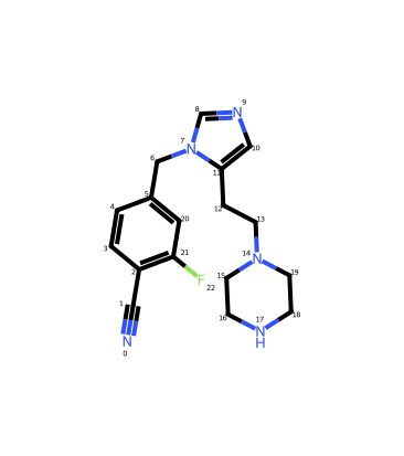 N#Cc1ccc(Cn2cncc2CCN2CCNCC2)cc1F